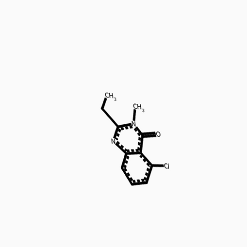 CCc1nc2cccc(Cl)c2c(=O)n1C